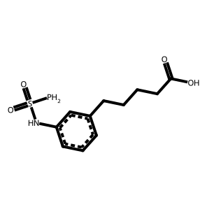 O=C(O)CCCCc1cccc(NS(=O)(=O)P)c1